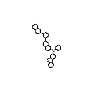 c1ccc(N(c2ccc3ccc(-c4cccc(-c5ccc6ccccc6c5)c4)cc3c2)c2ccc3c(c2)sc2ccccc23)cc1